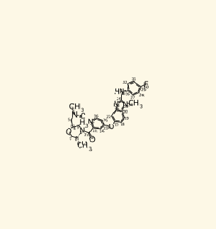 C[C@@H]1CO[C@@H](CN(C)C)CN1C(=O)c1cc(Oc2ccc3c(c2)nc(Nc2ccc(F)cc2)n3C)ccn1